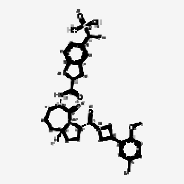 COc1ccc(F)cc1C1CN(C(=O)[C@@H]2CC[C@@H]3CCC[C@H](NC(=O)C4Cc5cc(C(F)P(=O)(O)O)ccc5S4)C(=O)N32)C1